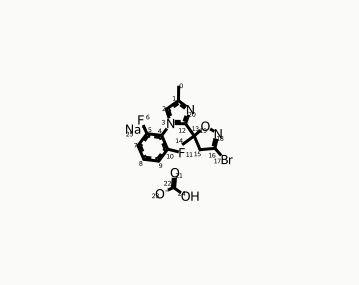 Cc1cn(-c2c(F)cccc2F)c(C2(C)CC(Br)=NO2)n1.O=C([O-])O.[Na+]